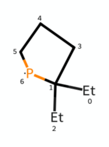 CCC1(CC)CCC[P]1